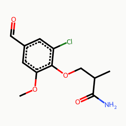 COc1cc(C=O)cc(Cl)c1OCC(C)C(N)=O